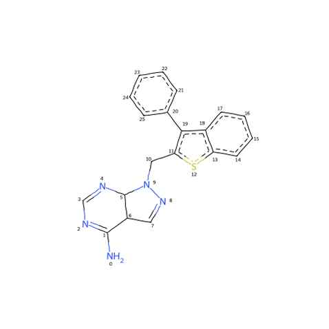 NC1=NC=NC2C1C=NN2Cc1sc2ccccc2c1-c1ccccc1